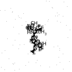 COc1nonc1C(=O)NC(CCC(C)(C)C(F)(F)F)c1cn2ncc(C(COC3CC3)N3CC(F)(F)CNC3=O)cc2n1